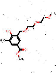 COCCOCCOCc1cc(C(=O)OC)cc(C)c1O